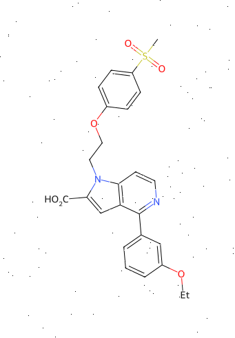 CCOc1cccc(-c2nccc3c2cc(C(=O)O)n3CCOc2ccc(S(C)(=O)=O)cc2)c1